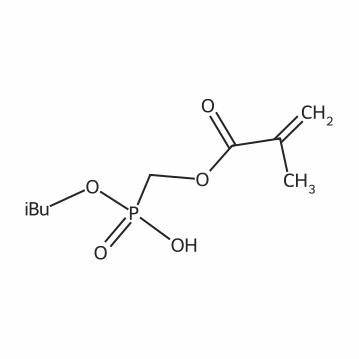 C=C(C)C(=O)OCP(=O)(O)OC(C)CC